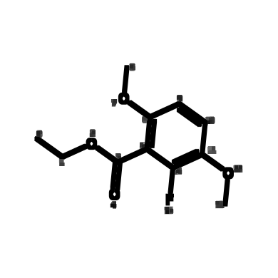 CCOC(=O)c1c(OC)ccc(OC)c1F